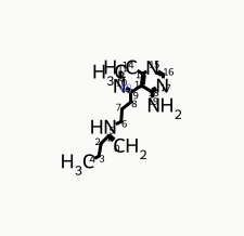 C=C(CCC)NCCC/C(=N/C)c1c(C)ncnc1N